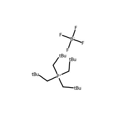 CC(C)(C)C[P+](CC(C)(C)C)(CC(C)(C)C)CC(C)(C)C.F[B-](F)(F)F